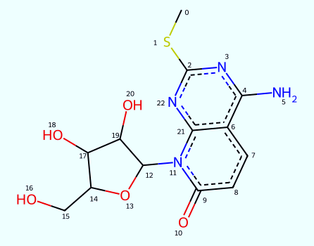 CSc1nc(N)c2ccc(=O)n(C3OC(CO)C(O)C3O)c2n1